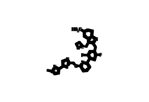 Cn1ccc(-c2cnc(COc3cccc(-c4cc(F)c(Cc5nc6ccc(C(=O)O)cc6n5C[C@@H]5CCO5)cc4F)n3)s2)n1